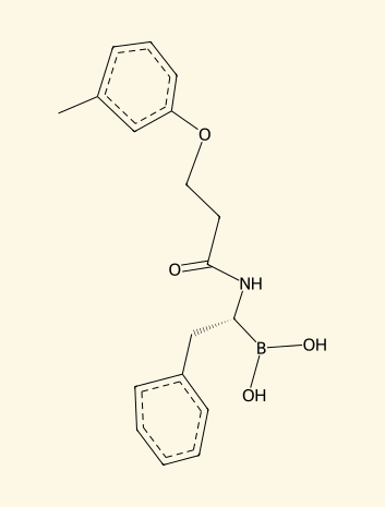 Cc1cccc(OCCC(=O)N[C@@H](Cc2ccccc2)B(O)O)c1